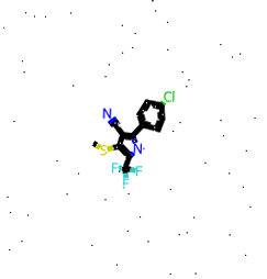 CSC1=C(C(F)(F)F)[N]C(c2ccc(Cl)cc2)=C1C#N